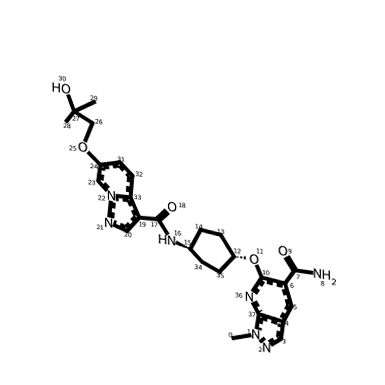 Cn1ncc2cc(C(N)=O)c(O[C@H]3CC[C@H](NC(=O)c4cnn5cc(OCC(C)(C)O)ccc45)CC3)nc21